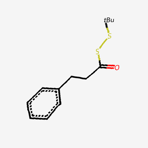 CC(C)(C)SSC(=O)CCc1ccccc1